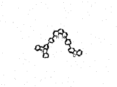 c1ccc2c(c1)oc1ccc(-c3ccc(-c4ccc5ccc6ccc(-c7ccc(-c8cc9c%10ccccc%10n%10c%11ccccc%11c(c8)c9%10)cc7)nc6c5n4)cc3)cc12